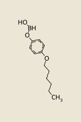 CCCCCCOc1ccc(OBO)cc1